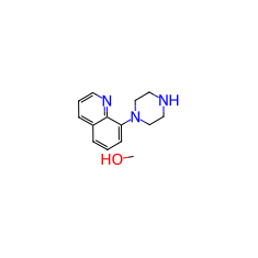 CO.c1cnc2c(N3CCNCC3)cccc2c1